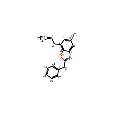 C=CCc1cc(Cl)cc2nc(Cc3ccccc3)oc12